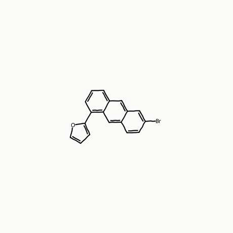 Brc1ccc2cc3c(-c4ccco4)cccc3cc2c1